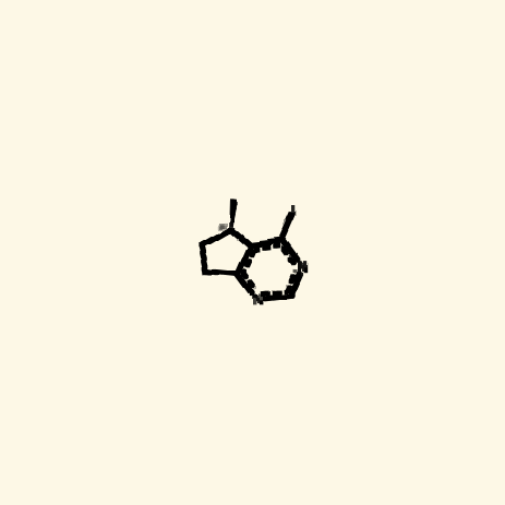 C[C@@H]1CCc2ncnc(I)c21